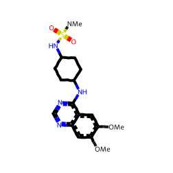 CNS(=O)(=O)NC1CCC(Nc2ncnc3cc(OC)c(OC)cc23)CC1